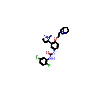 Cn1nccc1-c1cc(NC(=O)Nc2cc(F)ccc2F)ccc1OCCN1C2CCC1CC2